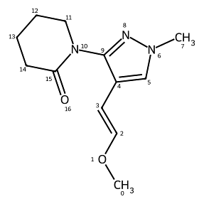 COC=Cc1cn(C)nc1N1CCCCC1=O